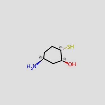 N[C@H]1CC[C@H](S)[C@@H](O)C1